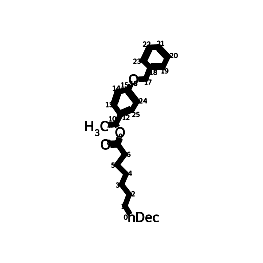 CCCCCCCCCCCCCCCCC(=O)OC(C)c1ccc(OCc2ccccc2)cc1